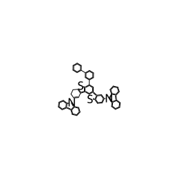 C1=C(n2c3ccccc3c3ccccc32)CCc2sc3c(-c4cccc(-c5ccccc5)c4)cc4c5cc(-n6c7ccccc7c7ccccc76)ccc5sc4c3c21